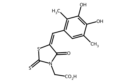 Cc1cc(C=C2SC(=S)N(CC(=O)O)C2=O)c(C)c(O)c1O